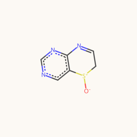 [O-][S+]1CC=Nc2ncncc21